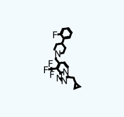 Fc1ccccc1C1CCN(Cc2ccn3c(CC4CC4)nnc3c2C(F)(F)F)CC1